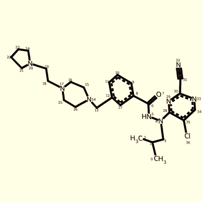 CC(C)CN(NC(=O)c1cccc(CN2CCN(CCN3CCCC3)CC2)c1)c1nc(C#N)ncc1Cl